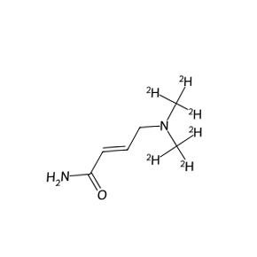 [2H]C([2H])([2H])N(CC=CC(N)=O)C([2H])([2H])[2H]